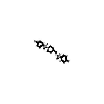 O=S(=O)(OCC1CCN(S(=O)(=O)c2ccc(F)cc2)CC1)c1ccc(F)cc1